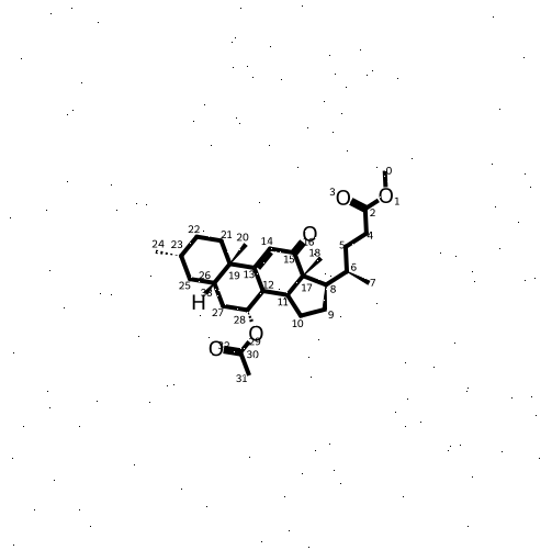 COC(=O)CC[C@@H](C)[C@H]1CCC2C3C(=CC(=O)[C@@]21C)[C@@]1(C)CC[C@@H](C)C[C@H]1C[C@H]3OC(C)=O